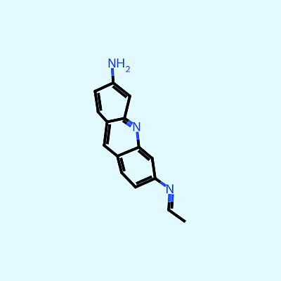 CC=Nc1ccc2cc3ccc(N)cc3nc2c1